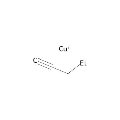 [C-]#CCCC.[Cu+]